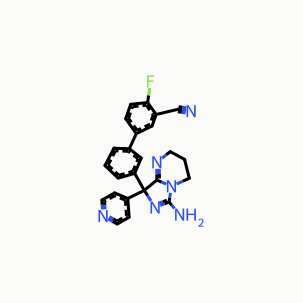 N#Cc1cc(-c2cccc(C3(c4ccncc4)N=C(N)N4CCCN=C43)c2)ccc1F